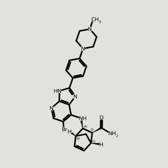 CN1CCN(c2ccc(-c3nc4c(N[C@H]5[C@@H](C(N)=O)[C@@H]6C=C[C@H]5C6)c(Br)cnc4[nH]3)cc2)CC1